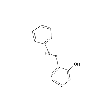 Oc1ccccc1SNc1ccccc1